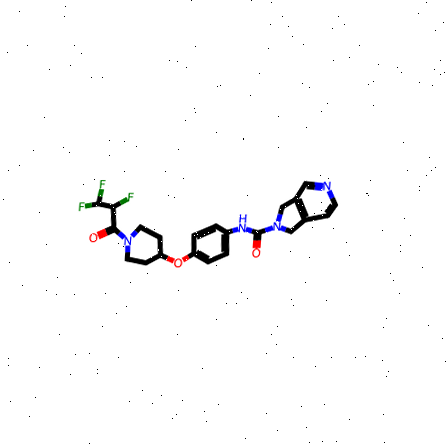 O=C(Nc1ccc(OC2CCN(C(=O)C(F)C(F)F)CC2)cc1)N1Cc2ccncc2C1